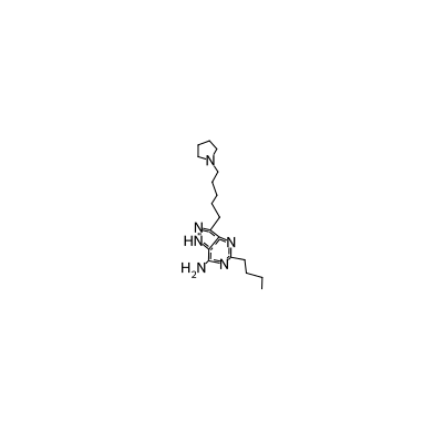 CCCCc1nc(N)c2[nH]nc(CCCCCN3CCCC3)c2n1